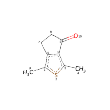 Cc1sc(C)c2c1CCC2=O